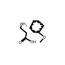 COc1ccccc1.NCCC(=O)O